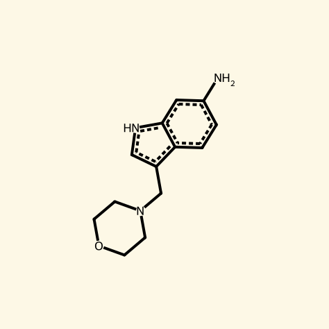 Nc1ccc2c(CN3CCOCC3)c[nH]c2c1